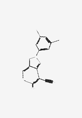 N#CC1=C(N)NC=C2CN(c3cc(Cl)cc(Cl)c3)C=C21